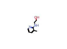 Cc1cccnc1NCCO